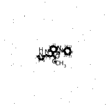 COC(=O)c1cc(-c2ccc[nH]2)nc2ccc3nn(-c4ccccc4)nc3c12